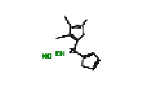 CC1=C(C)C(C)=[C]([Zr][C]2=CC=CC2)C1.Cl.Cl